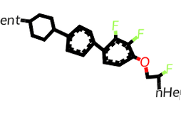 CCCCCCCC(F)COc1ccc(-c2ccc(C3CCC(CCCCC)CC3)cc2)c(F)c1F